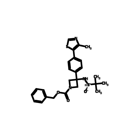 Cc1ncsc1-c1ccc(C2(N[S@@+]([O-])C(C)(C)C)CN(C(=O)OCc3ccccc3)C2)cc1